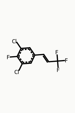 Fc1c(Cl)cc(C=CC(F)(F)F)cc1Cl